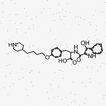 O=C(NC(Cc1ccc(OCCCCC2CCNCC2)cc1)C(=O)O)c1[nH]c2ccccc2c1O